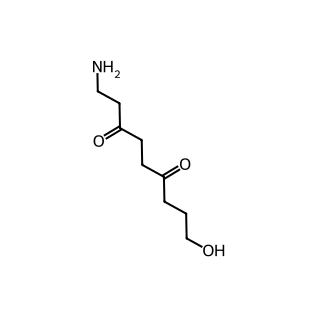 NCCC(=O)CCC(=O)CCCO